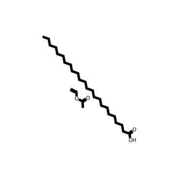 C=COC(C)=O.CCCCCCCCCCCCCCCCCCCCCCCC(=O)O